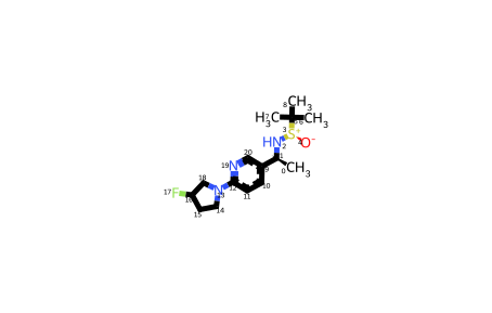 C[C@H](N[S@@+]([O-])C(C)(C)C)c1ccc(N2CCC(F)C2)nc1